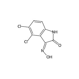 O=C1Nc2ccc(Cl)c(Cl)c2C1=NO